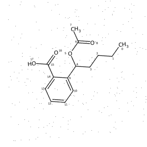 CCCCC(OC(C)=O)c1ccccc1C(=O)O